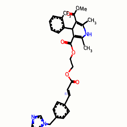 COC(=O)C1=C(C)NC(C)=C(C(=O)OCCOC(=O)/C=C/c2ccc(Cn3ccnc3)cc2)C1c1ccccc1C(F)(F)F